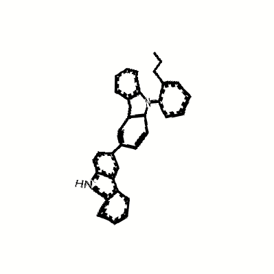 CCCc1ccccc1N1c2ccccc2C2C=C(c3ccc4[nH]c5ccccc5c4c3)C=CC21